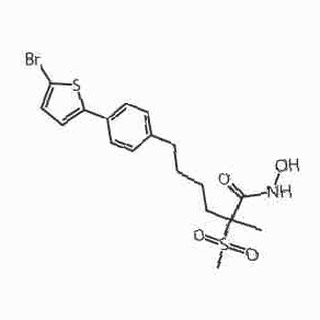 CC(CCCCc1ccc(-c2ccc(Br)s2)cc1)(C(=O)NO)S(C)(=O)=O